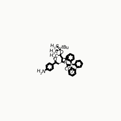 C[C@@H](O[Si](C)(C)C(C)(C)C)[C@H]1C(=O)N(C(C(=O)O)=P(c2ccccc2)(c2ccccc2)c2ccccc2)[C@@H]1CC(=O)c1ccc(N)cc1